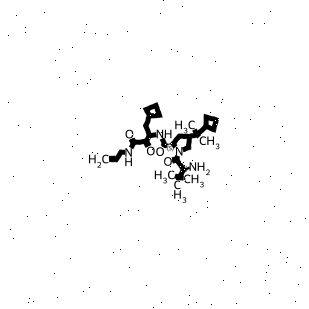 C=CCNC(=O)C(=O)C(CC1CCC1)NC(=O)[C@@H]1CC(C(C)(C)C2CCC2)CN1C(=O)[C@@H](N)C(C)(C)C